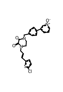 O=C1C(=O)N(Cc2ccc(-c3ccc[n+]([O-])c3)cc2)CCN1CC=Cc1ccc(Cl)s1